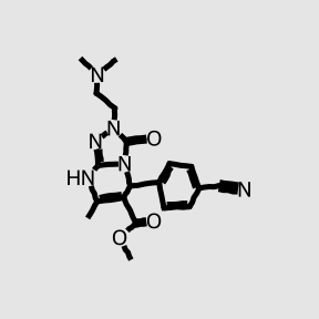 COC(=O)C1=C(C)Nc2nn(CCN(C)C)c(=O)n2C1c1ccc(C#N)cc1